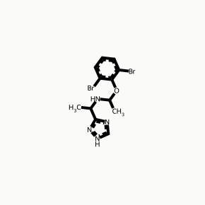 CC(NC(C)c1nc[nH]n1)Oc1c(Br)cccc1Br